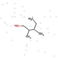 CCC(C)C(C)CO